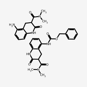 CN(C)C(=O)C1Cc2c(N)cccc2NC1=O.CN(C)C(=O)C1Cc2c(NC(=O)OCc3ccccc3)cccc2NC1=O